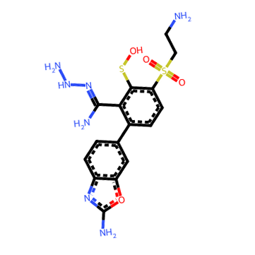 NCCS(=O)(=O)c1ccc(-c2ccc3nc(N)oc3c2)c(/C(N)=N/NN)c1SO